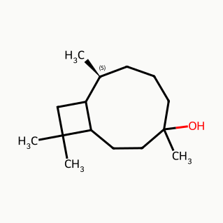 C[C@H]1CCCC(C)(O)CCC2C1CC2(C)C